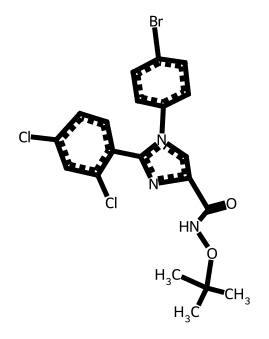 CC(C)(C)ONC(=O)c1cn(-c2ccc(Br)cc2)c(-c2ccc(Cl)cc2Cl)n1